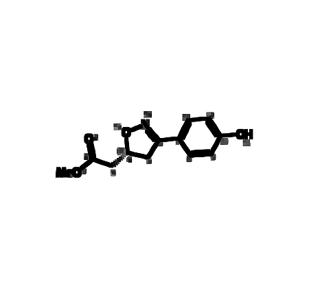 COC(=O)C[C@H]1CC(c2ccc(O)cc2)=NO1